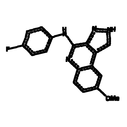 COc1ccc2nc(Nc3ccc(F)cc3)c3n[nH]cc3c2c1